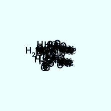 CC(C)C[C@H](N[C@H](CCN1C(=O)c2cc3ccccc3cc2C1=O)C(=O)O)C(=O)NC1CCS(=O)(=O)C1.CC(C)C[C@H](N[C@H](CCN1C(=O)c2cc3ccccc3cc2C1=O)C(=O)O)C(=O)NCc1ccc(S(N)(=O)=O)cc1